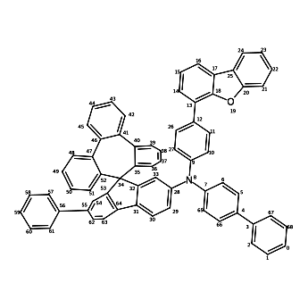 c1ccc(-c2ccc(N(c3ccc(-c4cccc5c4oc4ccccc45)cc3)c3ccc4c(c3)C3(c5ccccc5-c5ccccc5-c5ccccc53)c3cc(-c5ccccc5)ccc3-4)cc2)cc1